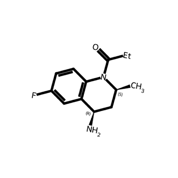 CCC(=O)N1c2ccc(F)cc2[C@H](N)C[C@@H]1C